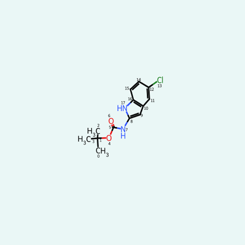 CC(C)(C)OC(=O)Nc1cc2cc(Cl)ccc2[nH]1